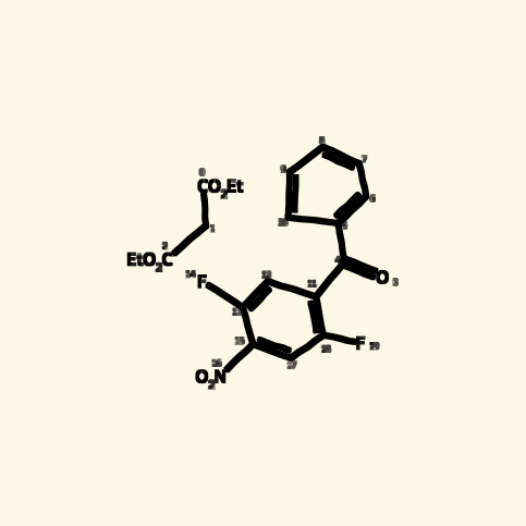 CCOC(=O)CC(=O)OCC.O=C(c1ccccc1)c1cc(F)c([N+](=O)[O-])cc1F